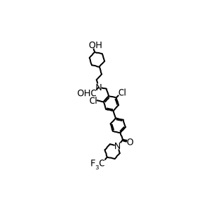 O=CN(CCC1CCC(O)CC1)Cc1c(Cl)cc(-c2ccc(C(=O)N3CCC(C(F)(F)F)CC3)cc2)cc1Cl